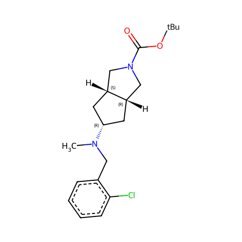 CN(Cc1ccccc1Cl)[C@@H]1C[C@@H]2CN(C(=O)OC(C)(C)C)C[C@@H]2C1